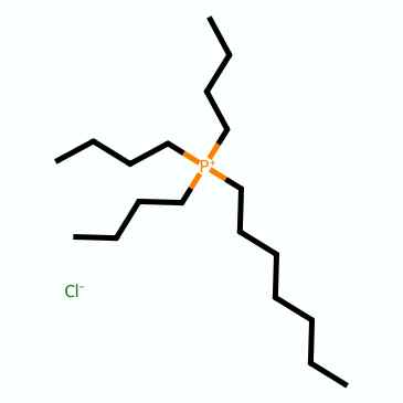 CCCCCCC[P+](CCCC)(CCCC)CCCC.[Cl-]